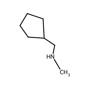 CNCC1CCCC1